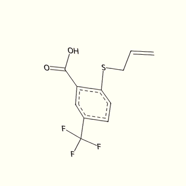 C=CCSc1ccc(C(F)(F)F)cc1C(=O)O